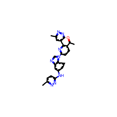 CC(=O)c1ccc(-n2cnc3cc(Nc4ccc(C)nn4)ccc32)nc1-c1cnnc(C)c1